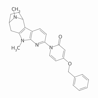 CN1C2CCC1c1c(n(C)c3nc(-n4ccc(OCc5ccccc5)cc4=O)ccc13)C2